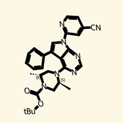 C[C@@H]1CN(c2ncnc3c2c(-c2ccccc2)cn3-c2cc(C#N)ccn2)[C@@H](C)CN1C(=O)OC(C)(C)C